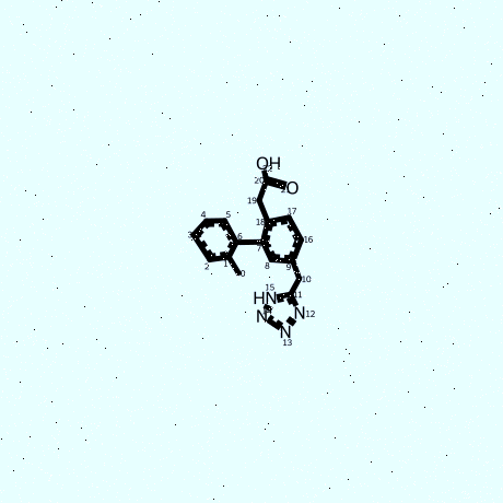 Cc1ccccc1-c1cc(Cc2nnn[nH]2)ccc1CC(=O)O